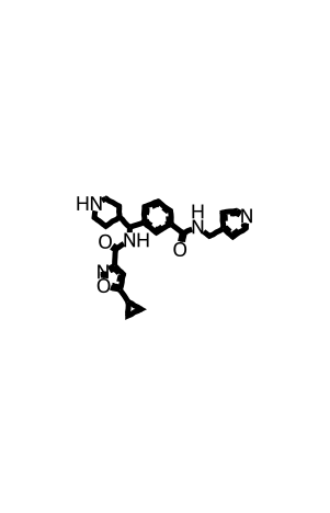 O=C(NCc1ccncc1)c1cccc(C(NC(=O)c2cc(C3CC3)on2)C2CCNCC2)c1